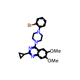 COc1cc2nc(C3CC3)nc(N3CCN(c4ccccc4Br)CC3)c2cc1OC